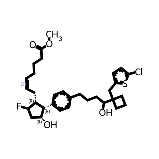 COC(=O)CCC/C=C\C[C@H]1C(F)C[C@@H](O)[C@H]1c1ccc(CCCC(O)C2(Cc3ccc(Cl)s3)CCC2)cc1